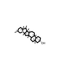 C[C@H]1CC[C@]2(C)[C@@H](C)[C@]3(C)[C@@]4(C)CC[C@@]5(C)C(CC[C@@]6(C)C[C@@H](O)CC[C@@]65C)[C@]4(C)C[C@]3(C)N2C1